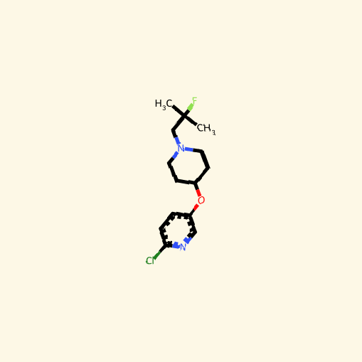 CC(C)(F)CN1CCC(Oc2ccc(Cl)nc2)CC1